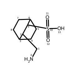 NCC1C2CCC(CC2)C1S(=O)(=O)O